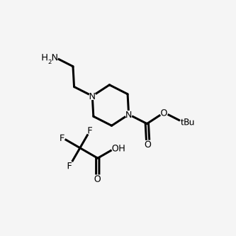 CC(C)(C)OC(=O)N1CCN(CCN)CC1.O=C(O)C(F)(F)F